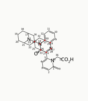 C=C1C=CC=C(c2nc3ccccc3n(C3CC4CCCC(C3)N4C3CC4CCCC(C4)C3)c2=O)N1CC(=O)O